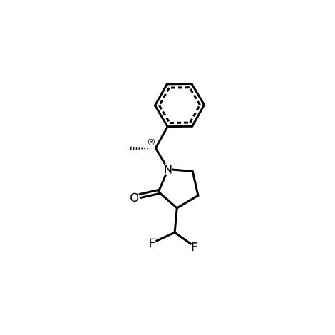 C[C@H](c1ccccc1)N1CCC(C(F)F)C1=O